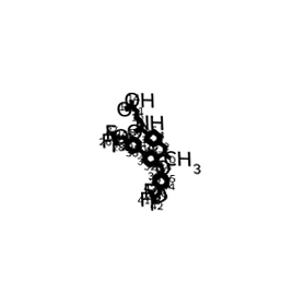 CC(Cc1ccc(C(=O)NCCC(=O)O)cc1)c1cc(-c2ccc(OC(F)(F)F)cc2)ccc1Oc1ccc(OC(F)(F)F)cc1